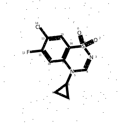 O=S1(=O)N=CN(C2CC2)c2cc(F)c(Cl)cc21